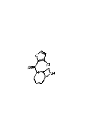 O=C(c1occc1Cl)N1CCCC2NCC21